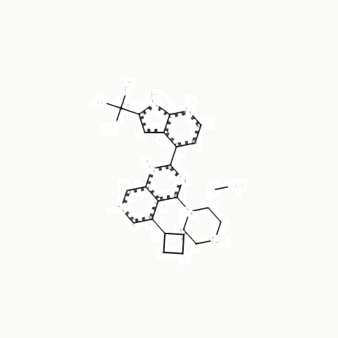 OC[C@@H]1CNCCN1c1nc(-c2ccnc3[nH]c(C(F)(F)F)cc23)nc2cncc(C3CCC3)c12